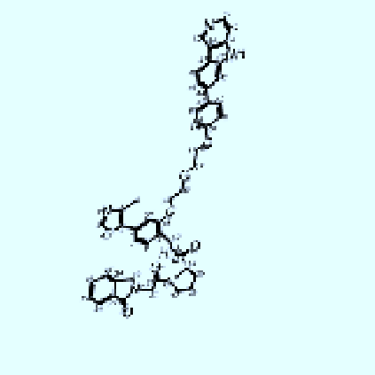 Cc1ncsc1-c1ccc(CNC(=O)[C@@H]2CCCN2C(=O)CN2Cc3ccccc3C2=O)c(OCCOCCOc2ccc(-c3ccc4c(c3)[nH]c3ccncc34)cn2)c1